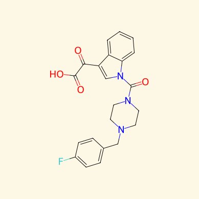 O=C(O)C(=O)c1cn(C(=O)N2CCN(Cc3ccc(F)cc3)CC2)c2ccccc12